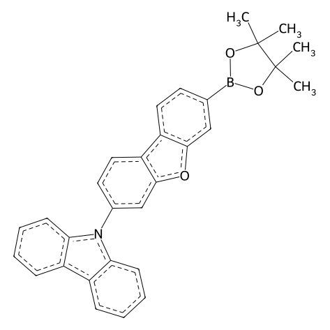 CC1(C)OB(c2ccc3c(c2)oc2cc(-n4c5ccccc5c5ccccc54)ccc23)OC1(C)C